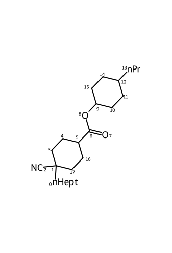 CCCCCCCC1(C#N)CCC(C(=O)OC2CCC(CCC)CC2)CC1